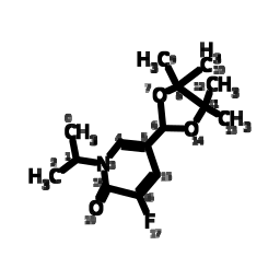 CC(C)n1cc(C2OC(C)(C)C(C)(C)O2)cc(F)c1=O